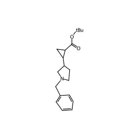 CC(C)(C)OC(=O)C1CC1C1CCN(Cc2ccccc2)C1